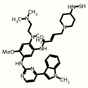 COc1cc(N(C)CCN(C)C)c(NC(=O)/C=C/CN2CCC(NS)CC2)cc1Nc1nccc(-c2cn(C)c3ccccc23)n1